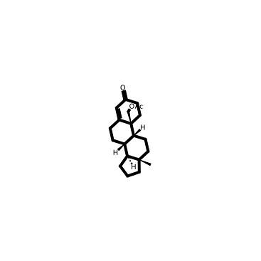 CC(=O)OC[C@]12CCC(=O)C=C1CC[C@@H]1[C@H]2CC[C@]2(C)CCC[C@@H]12